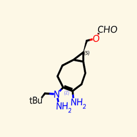 CC(C)(C)CN(N)/C1=C(\N)CCC2C(CC1)[C@H]2COC=O